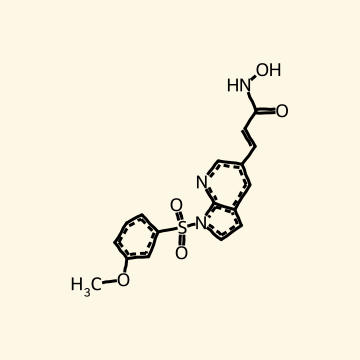 COc1cccc(S(=O)(=O)n2ccc3cc(/C=C/C(=O)NO)cnc32)c1